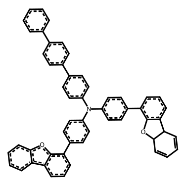 C1=CC2Oc3c(-c4ccc(N(c5ccc(-c6ccc(-c7ccccc7)cc6)cc5)c5ccc(-c6cccc7c6oc6ccccc67)cc5)cc4)cccc3C2C=C1